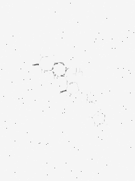 Cl.Cl.O=C1COc2ccc(N3C[C@H](CNC[C@@H]4CCNC4)OC3=O)nc2N1